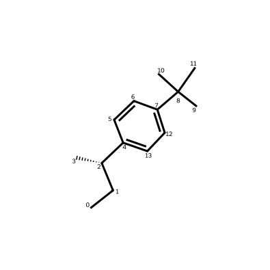 CC[C@H](C)c1ccc(C(C)(C)C)cc1